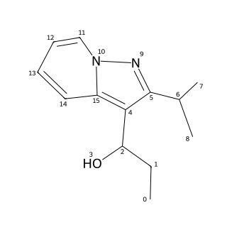 CCC(O)c1c(C(C)C)nn2ccccc12